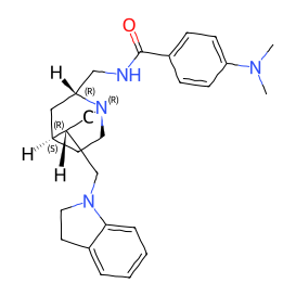 CN(C)c1ccc(C(=O)NC[C@H]2C[C@@H]3CC[N@@]2C[C@@H]3CN2CCc3ccccc32)cc1